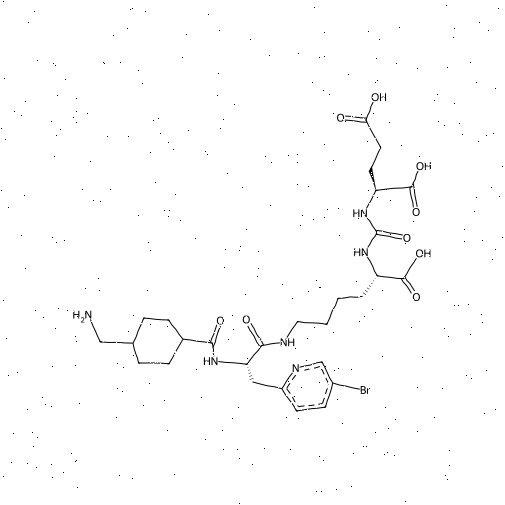 NCC1CCC(C(=O)N[C@@H](Cc2ccc(Br)cn2)C(=O)NCCCC[C@H](NC(=O)N[C@@H](CCC(=O)O)C(=O)O)C(=O)O)CC1